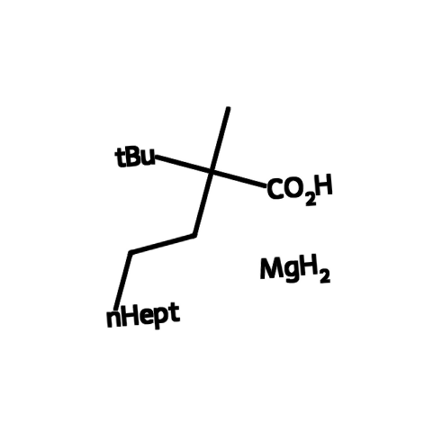 CCCCCCCCCC(C)(C(=O)O)C(C)(C)C.[MgH2]